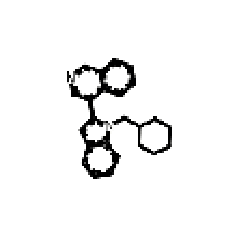 c1ccc2c(-c3cc4ccccc4n3CC3CCCCC3)cncc2c1